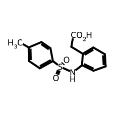 Cc1ccc(S(=O)(=O)Nc2ccccc2CC(=O)O)cc1